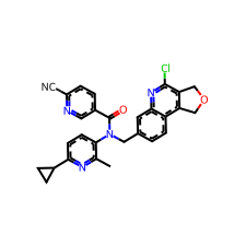 Cc1nc(C2CC2)ccc1N(Cc1ccc2c3c(c(Cl)nc2c1)COC3)C(=O)c1ccc(C#N)nc1